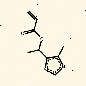 C=CC(=O)OC(C)c1scnc1C